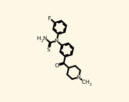 CN1CCC(C(=O)c2cccc(N(C(N)=S)c3cccc(F)c3)c2)CC1